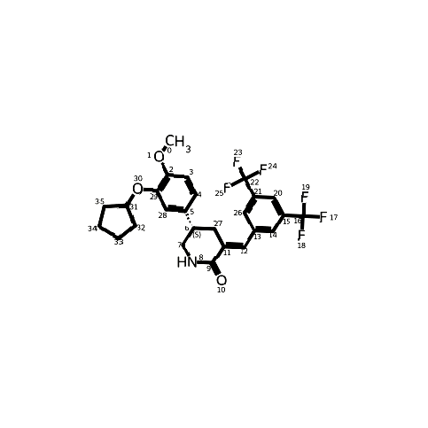 COc1ccc([C@H]2CNC(=O)C(=Cc3cc(C(F)(F)F)cc(C(F)(F)F)c3)C2)cc1OC1CCCC1